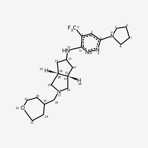 FC(F)(F)c1cc(N2CCCC2)nnc1NC1C[C@@H]2CN(CC3CCOCC3)C[C@@H]2C1